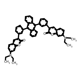 CCN(CC)c1ccc2cc(-c3cccc(-c4c5ccccc5c(-c5cccc(-c6cc7ccc(N(CC)CC)cc7oc6=O)c5)c5ccccc45)c3)c(=O)oc2c1